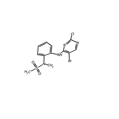 CN(c1ccccc1Nc1nc(Cl)ncc1Br)S(C)(=O)=O